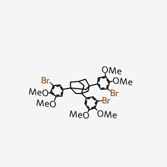 COc1cc(C23CC4CC(c5cc(Br)c(OC)c(OC)c5)(C2)CC(c2cc(Br)c(OC)c(OC)c2)(C4)C3)cc(Br)c1OC